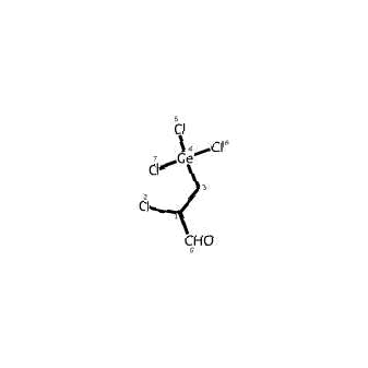 O=CC(Cl)[CH2][Ge]([Cl])([Cl])[Cl]